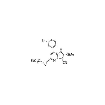 CCOC(=O)C1CC1C1=NC2C(C#N)C(SC)NN2C(c2cccc(Br)c2)=C1